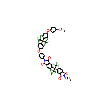 Cc1ccc(Oc2ccc(C(c3ccc(Oc4ccc(N5C(=O)c6ccc(C(c7ccc8c(c7)C(=O)N(C)C8=O)(C(F)(F)F)C(F)(F)F)cc6C5=O)cc4)cc3)(C(F)(F)F)C(F)(F)F)cc2)cc1